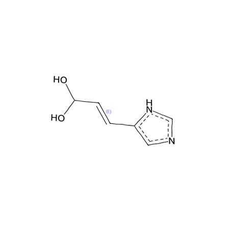 OC(O)/C=C/c1cnc[nH]1